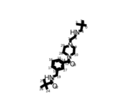 CC(C)(C)CNCCN1CCN(C(=O)c2cccc(CNC(=O)C(C)(C)C)c2)CC1